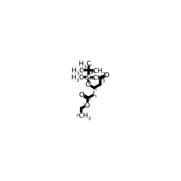 CCOC(=O)C[C@@H](CC=O)O[Si](C)(C)C(C)(C)C